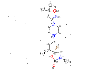 CC(C)C1(C)CC(N2CCN(CCC(C)C3(S)CN(C)C(=O)O3)CC2)=NO1